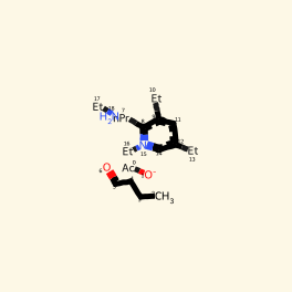 CC(=O)[O-].CCCC=O.CCCc1c(CC)cc(CC)c[n+]1CC.CCN